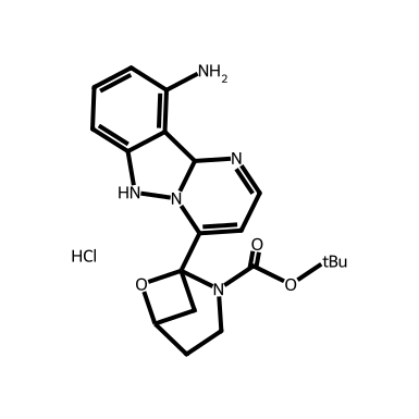 CC(C)(C)OC(=O)N1CCC2CC1(C1=CC=NC3c4c(N)cccc4NN13)O2.Cl